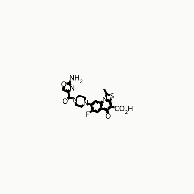 CC1Sc2c(C(=O)O)c(=O)c3cc(F)c(N4CCN(C(=O)c5coc(N)n5)CC4)cc3n21